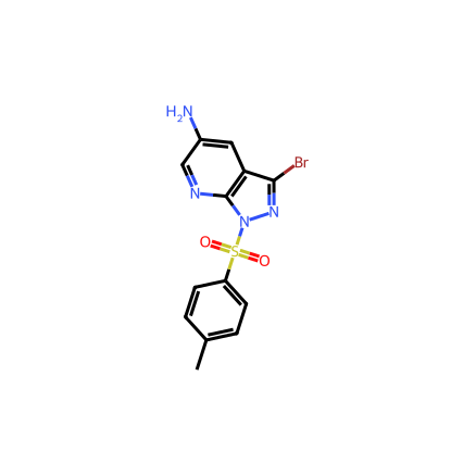 Cc1ccc(S(=O)(=O)n2nc(Br)c3cc(N)cnc32)cc1